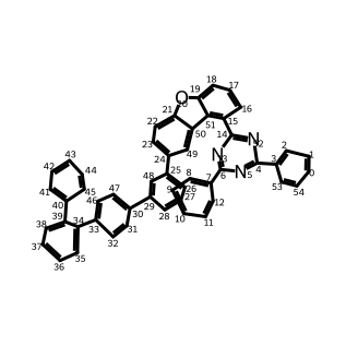 c1ccc(-c2nc(-c3ccccc3)nc(-c3cccc4oc5ccc(-c6cccc(-c7ccc(-c8ccccc8-c8ccccc8)cc7)c6)cc5c34)n2)cc1